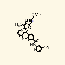 CCCc1ccnc(NC(=O)c2ccc(-c3nc(C(C)N(C)C(=O)/C=C/COC)n4ccnc(N)c34)cc2)c1